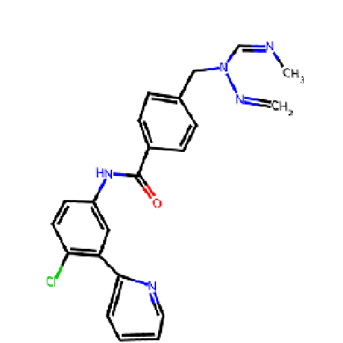 C=NN(/C=N\C)Cc1ccc(C(=O)Nc2ccc(Cl)c(-c3ccccn3)c2)cc1